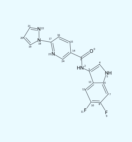 O=C(Nc1c[nH]c2cc(F)c(F)cc12)c1ccc(-n2cccn2)nc1